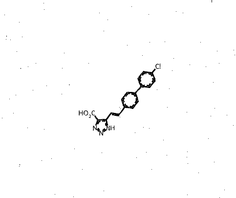 O=C(O)c1nn[nH]c1C=Cc1ccc(-c2ccc(Cl)cc2)cc1